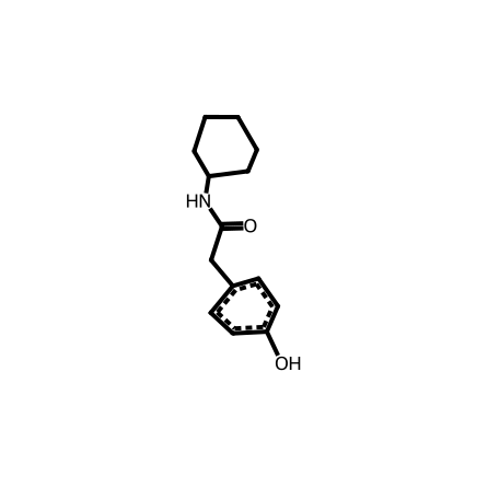 O=C(Cc1ccc(O)cc1)NC1CCCCC1